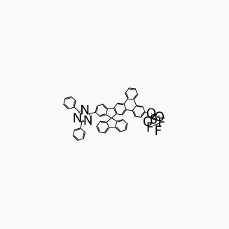 O=S(=O)(Oc1ccc2c(c1)c1ccccc1c1cc3c(cc21)C1(c2ccccc2-c2ccccc21)c1cc(-c2nc(-c4ccccc4)nc(-c4ccccc4)n2)ccc1-3)C(F)(F)F